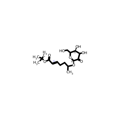 CC(CC/C=C/C(=O)OC(C)(C)C)O[C@H]1OC(CO)[C@@H](O)C(O)C1=O